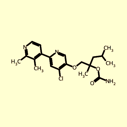 Cc1nccc(-c2cc(Cl)c(OCC(C)(CC(C)C)OC(N)=O)cn2)c1C